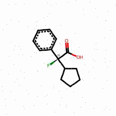 O=C(O)[C@@](F)(c1ccccc1)C1CCCC1